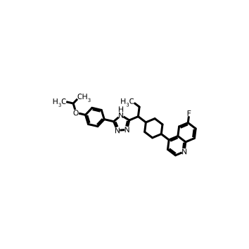 CCC(c1nnc(-c2ccc(OC(C)C)cc2)[nH]1)C1CCC(c2ccnc3ccc(F)cc23)CC1